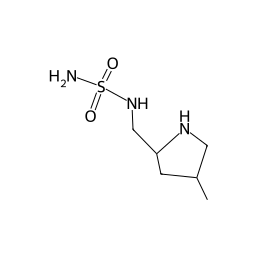 CC1CNC(CNS(N)(=O)=O)C1